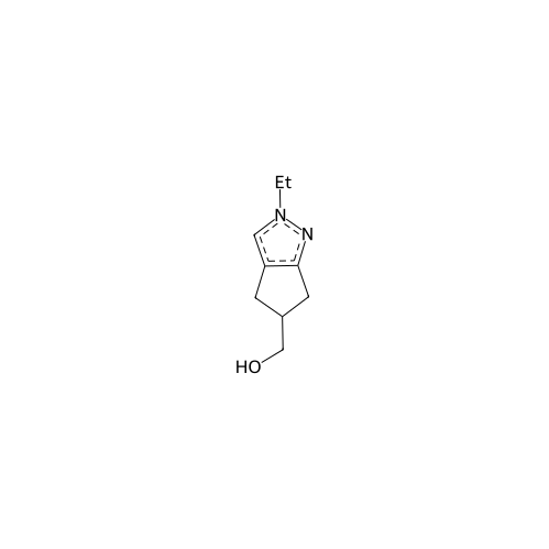 CCn1cc2c(n1)CC(CO)C2